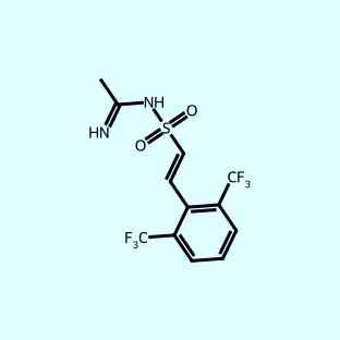 CC(=N)NS(=O)(=O)C=Cc1c(C(F)(F)F)cccc1C(F)(F)F